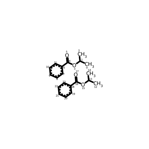 CC(C)OC(=O)c1ccccc1.CC(C)OC(=O)c1ccccc1